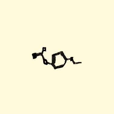 CCSc1ccc(OC(=S)Cl)cc1